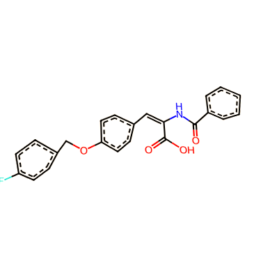 O=C(O)/C(=C\c1ccc(OCc2ccc(F)cc2)cc1)NC(=O)c1ccccc1